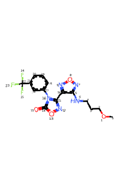 COCCCNc1nonc1-c1noc(=O)n1-c1cccc(C(F)(F)F)c1